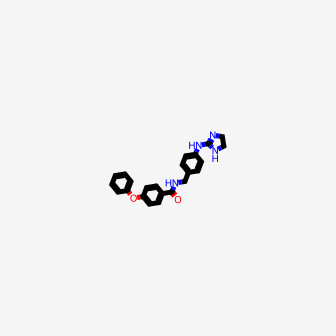 O=C(NCc1ccc(NC2=NCCN2)cc1)c1ccc(Oc2ccccc2)cc1